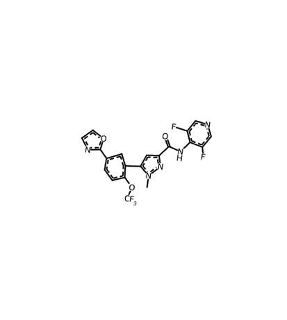 Cn1nc(C(=O)Nc2c(F)cncc2F)cc1-c1cc(-c2ncco2)ccc1OC(F)(F)F